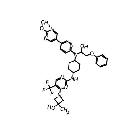 COc1ncc(-c2ccc(N(C(O)COc3ccccc3)C3CCC(Nc4ncc(C(F)(F)F)c(N5CC(C)(O)C5)n4)CC3)nc2)cn1